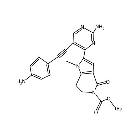 Cn1c(-c2nc(N)ncc2C#Cc2ccc(N)cc2)cc2c1CCN(C(=O)OC(C)(C)C)C2=O